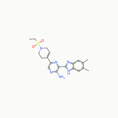 CCS(=O)(=O)N1CC=C(c2cnc(N)c(-c3nc4cc(C)c(C)cc4[nH]3)n2)CC1